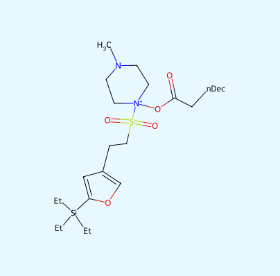 CCCCCCCCCCCC(=O)O[N+]1(S(=O)(=O)CCc2coc([Si](CC)(CC)CC)c2)CCN(C)CC1